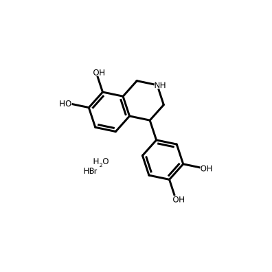 Br.O.Oc1ccc(C2CNCc3c2ccc(O)c3O)cc1O